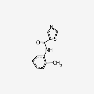 Cc1ccccc1NC(=O)c1cncs1